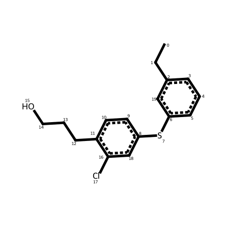 CCc1cccc(Sc2ccc(CCCO)c(Cl)c2)c1